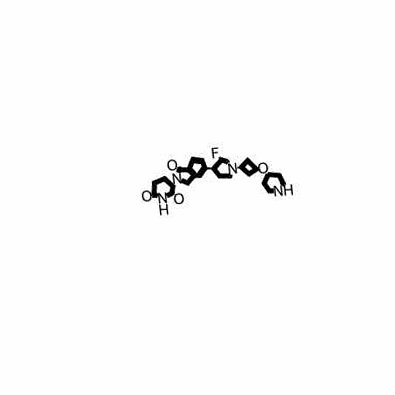 O=C1CCC(N2Cc3cc([C@@H]4CCN([C@H]5C[C@H](OC6CCNCC6)C5)C[C@@H]4F)ccc3C2=O)C(=O)N1